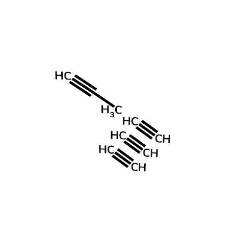 C#C.C#C.C#C.C#CC